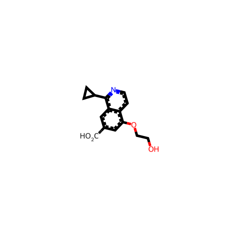 O=C(O)c1cc(OCCO)c2ccnc(C3CC3)c2c1